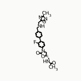 CC(=O)NC[C@H]1CN(c2ccc(-c3ccc(CNCc4nc(C)no4)cc3)c(F)c2)C(=O)O1